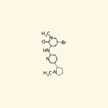 CN1CCCC1c1ccc(Nc2cc(Br)cn(C)c2=O)nc1